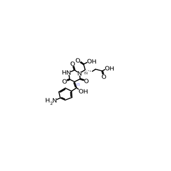 Nc1ccc(/C(O)=C2\C(=O)NC(=O)N([C@@H](CCC(=O)O)C(=O)O)C2=O)cc1